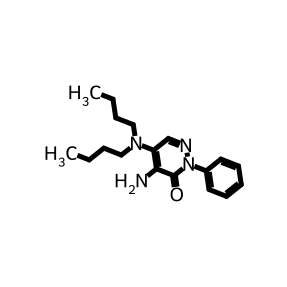 CCCCN(CCCC)c1cnn(-c2ccccc2)c(=O)c1N